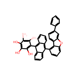 Bc1c(B)c(-c2c3ccccc3c(-c3cccc4oc5cc(-c6ccccc6)ccc5c34)c3ccccc23)c(O)c(O)c1O